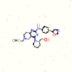 O=CCN1CCc2nc(Nc3ccc(-c4cnco4)cc3)nc(N3CCCCC3CO)c2C1